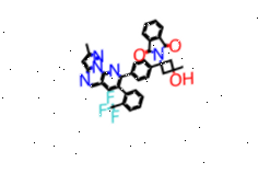 Cc1cc2ncc3cc(-c4ccccc4C(F)(F)F)c(-c4ccc(C5(N6C(=O)c7ccccc7C6=O)CC(C)(O)C5)cc4)nc3n2n1